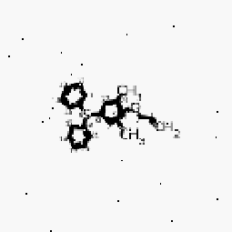 C=CCOc1c(C)cc([S](c2ccccc2)c2ccccc2)cc1C